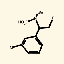 CC(C)(C)N(C(=O)O)C(CF)c1cccc(Cl)c1